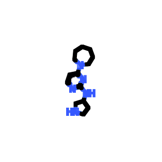 c1cc(N2CCCCCC2)nc(NC2CCNC2)n1